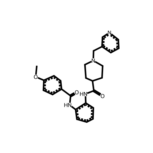 COc1ccc(C(=O)Nc2ccccc2NC(=O)C2CCN(Cc3cccnc3)CC2)cc1